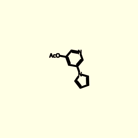 CC(=O)Oc1cncc(-n2cccc2)c1